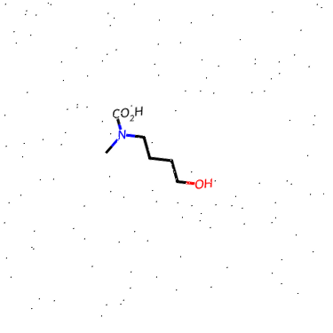 CN(CCCCO)C(=O)O